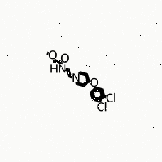 COCC(=O)NCCN1CCC(Oc2ccc(Cl)c(Cl)c2)CC1